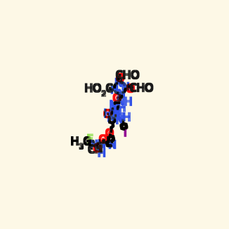 CC1(F)C[C@H](C#N)N(C(=O)CNC(=O)c2ccnc3ccc(OCCCC4CCN(C(=O)CCN/N=C\[C@H](C/C=N/NCN/N=C/c5ccc(I)cc5)NC(=O)CN5CCN(COC=O)CCN(COC=O)CCN(CC(=O)O)CC5)CC4)cc23)C1